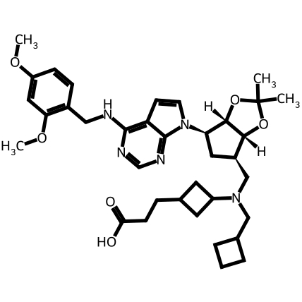 COc1ccc(CNc2ncnc3c2ccn3[C@@H]2C[C@H](CN(CC3CCC3)C3CC(CCC(=O)O)C3)[C@H]3OC(C)(C)O[C@H]32)c(OC)c1